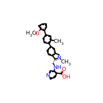 COc1ccccc1-c1ccc(-c2ccc3c(c2)CN(C)[C@@H]3CNc2cnccc2C(=O)O)c(C)c1